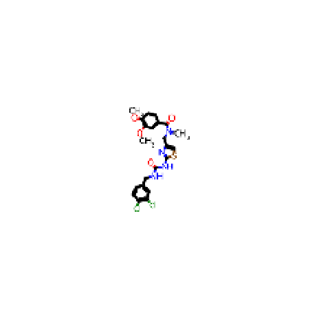 COc1ccc(C(=O)N(C)Cc2csc(NC(=O)NCc3ccc(Cl)c(Cl)c3)n2)cc1OC